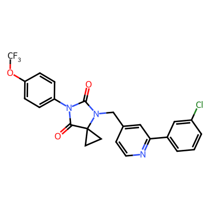 O=C1N(c2ccc(OC(F)(F)F)cc2)C(=O)C2(CC2)N1Cc1ccnc(-c2cccc(Cl)c2)c1